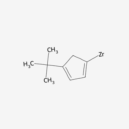 CC(C)(C)C1=CC=[C]([Zr])C1